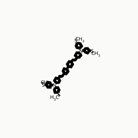 CSc1ccc(N(c2ccc(C=Cc3ccc(-c4ccc(/C=C/c5ccc(N(c6ccc(SC)cc6)c6ccc(SC)cc6)cc5)cc4)cc3)cc2)c2ccc(SC)cc2)cc1